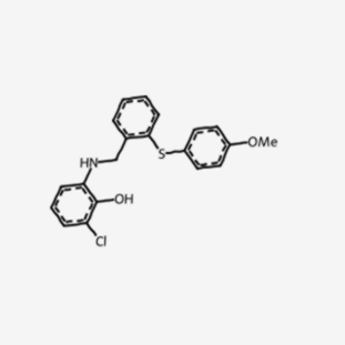 COc1ccc(Sc2ccccc2CNc2cccc(Cl)c2O)cc1